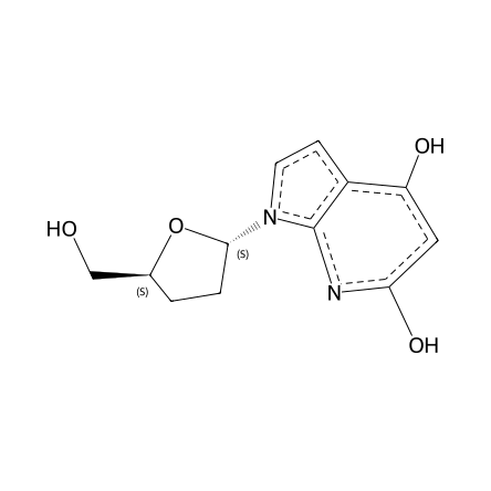 OC[C@@H]1CC[C@@H](n2ccc3c(O)cc(O)nc32)O1